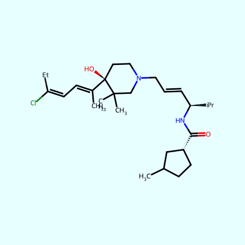 CC/C(Cl)=C\C=C(/C)[C@]1(O)CCN(C/C=C/[C@H](NC(=O)[C@@H]2CCC(C)C2)C(C)C)CC1(C)C